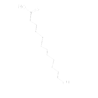 CCCCCCCCCCCCC(O)=S